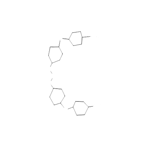 O=CC1CCC(OC2CCC(SOSC3CCC(OC4CCC(C=O)CC4)CC3)CC2)CC1